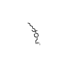 CCCCCCC(C)(CC)N1CCN(CCN)CC1